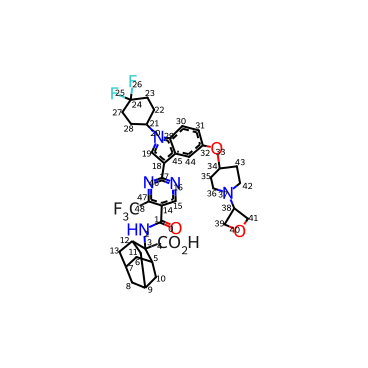 O=C(NC1(C(=O)O)C2CC3CC(C2)CC1C3)c1cnc(-c2cn(C3CCC(F)(F)CC3)c3ccc(OC4CCN(C5COC5)CC4)cc23)nc1C(F)(F)F